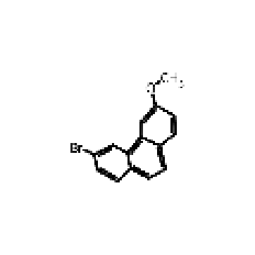 COc1ccc2ccc3ccc(Br)cc3c2c1